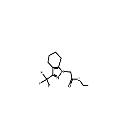 CCOC(=O)Cn1nc(C(F)(F)F)c2c1CCCC2